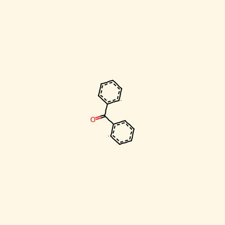 O=C(c1[c]cccc1)c1[c]cccc1